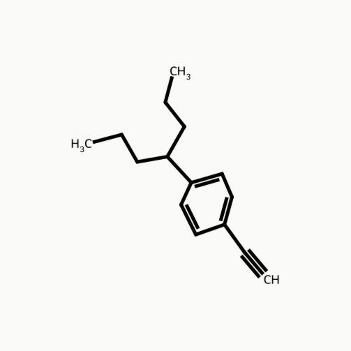 C#Cc1ccc(C(CCC)CCC)cc1